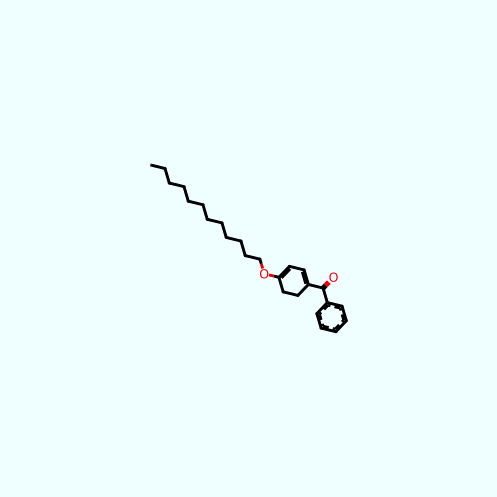 CCCCCCCCCCCCOC1=CC=C(C(=O)c2ccccc2)CC1